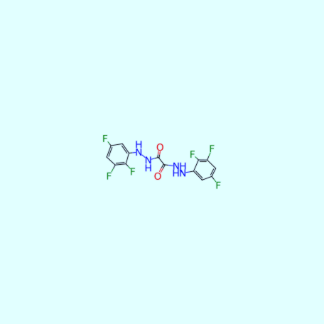 O=C(NNc1cc(F)cc(F)c1F)C(=O)NNc1cc(F)cc(F)c1F